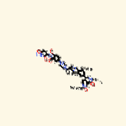 CNC(=O)N1CCc2c(-c3cc(OC)c(CN4CC(CN5CCN(c6ccc7c(c6)C(=O)N(C6CCC(=O)NC6=O)C7=O)CC5)C4)c(OC)c3)cn(C)c(=O)c2C1